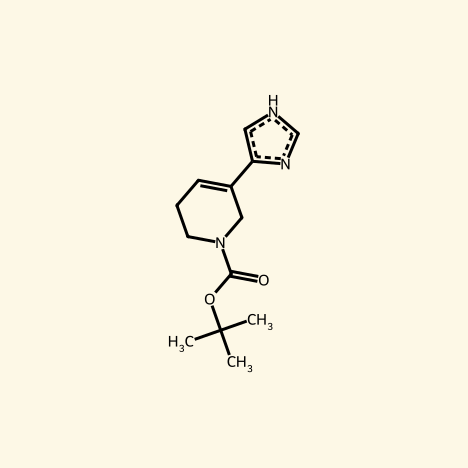 CC(C)(C)OC(=O)N1CCC=C(c2c[nH]cn2)C1